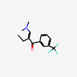 CCC(=CN(C)C)C(=O)c1cccc(C(F)(F)F)c1